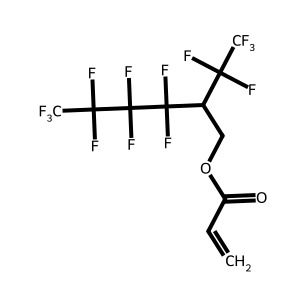 C=CC(=O)OCC(C(F)(F)C(F)(F)F)C(F)(F)C(F)(F)C(F)(F)C(F)(F)F